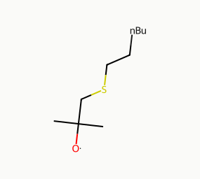 CCCCCCSCC(C)(C)[O]